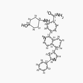 NC(=O)c1ccc(-c2nccc3c(-c4cnc(-c5ccccc5)s4)cccc23)cc1NC1CCC(O)CC1